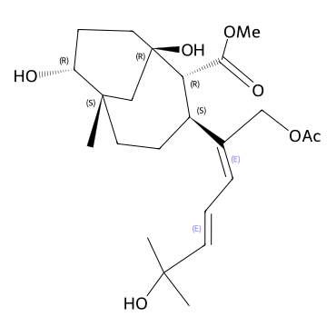 COC(=O)[C@@H]1[C@@H](/C(=C\C=C\C(C)(C)O)COC(C)=O)CC[C@@]2(C)C[C@]1(O)CC[C@H]2O